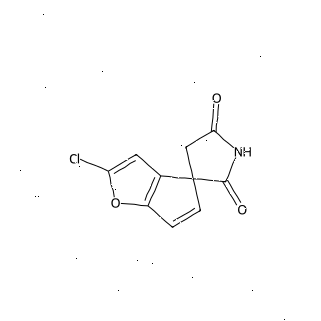 O=C1CC2(C=Cc3oc(Cl)cc32)C(=O)N1